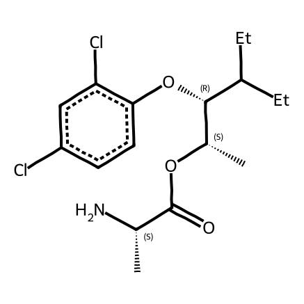 CCC(CC)[C@@H](Oc1ccc(Cl)cc1Cl)[C@H](C)OC(=O)[C@H](C)N